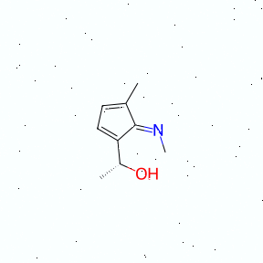 C/N=C1/C(C)=CC=C1[C@@H](C)O